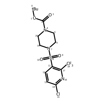 CC(C)(C)OC(=O)N1CCN(S(=O)(=O)c2ccc(Cl)nc2C(F)(F)F)CC1